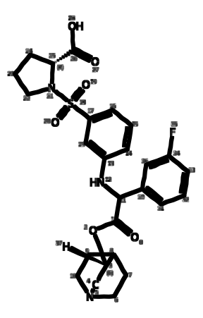 O=C(O[C@H]1CN2CCC1CC2)C(Nc1cccc(S(=O)(=O)N2CCC[C@@H]2C(=O)O)c1)c1cccc(F)c1